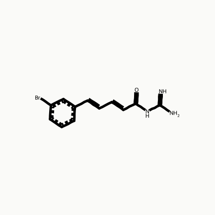 N=C(N)NC(=O)C=CC=Cc1cccc(Br)c1